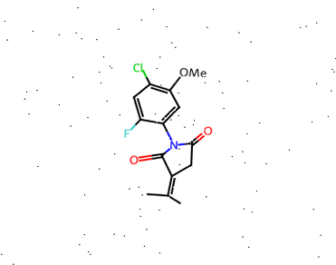 COc1cc(N2C(=O)CC(=C(C)C)C2=O)c(F)cc1Cl